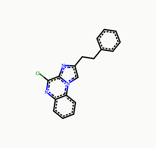 Clc1nc2ccccc2n2cc(CCc3ccccc3)nc12